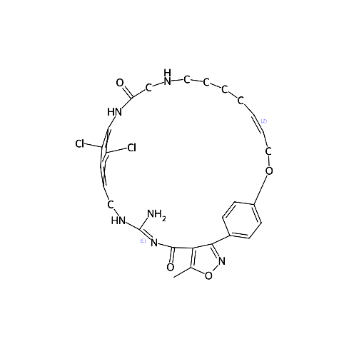 Cc1onc2c1C(=O)/N=C(\N)NCc1cc(Cl)c(c(Cl)c1)NC(=O)CNCCCC/C=C\COc1ccc-2cc1